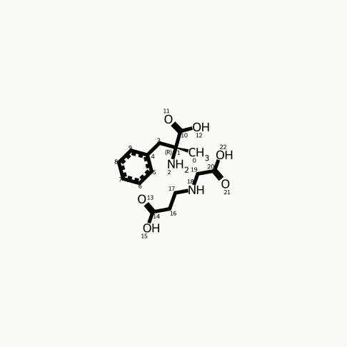 C[C@@](N)(Cc1ccccc1)C(=O)O.O=C(O)CCNCC(=O)O